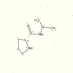 CN(C)NC(=O)[C@H]1CCCN1